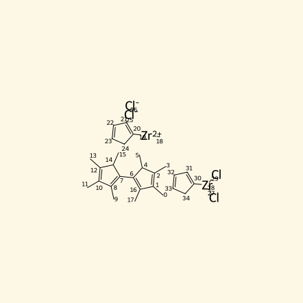 CC1=C(C)C(C)C(C2=C(C)C(C)=C(C)C2C)=C1C.[CH3][Zr+2][C]1=CC=CC1.[Cl-].[Cl-].[Cl][Zr]([Cl])[C]1=CC=CC1